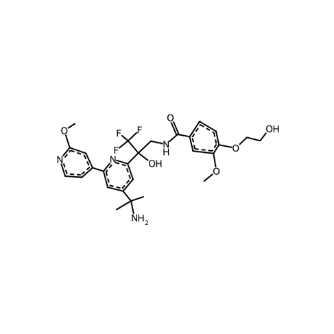 COc1cc(-c2cc(C(C)(C)N)cc(C(O)(CNC(=O)c3ccc(OCCO)c(OC)c3)C(F)(F)F)n2)ccn1